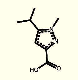 CC(C)c1cc(C(=O)O)nn1C